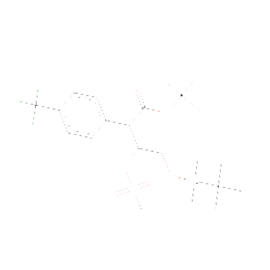 CC(C)(C)OC(=O)C(c1ccc(C(F)(F)F)cc1)C(CO[Si](C)(C)C(C)(C)C)OS(C)(=O)=O